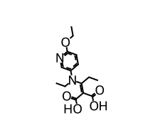 CCOc1ccc(N(CC)C(CC)=C(C(=O)O)C(=O)O)cn1